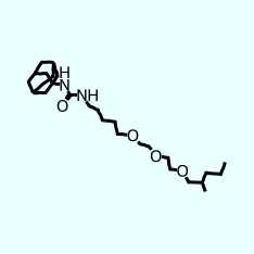 CCCC(C)COCCOCCOCCCCCNC(=O)NC12CC3CC(CC(C3)C1)C2